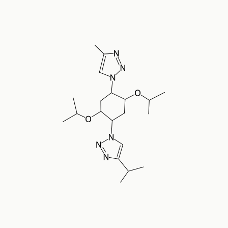 Cc1cn(C2CC(OC(C)C)C(n3cc(C(C)C)nn3)CC2OC(C)C)nn1